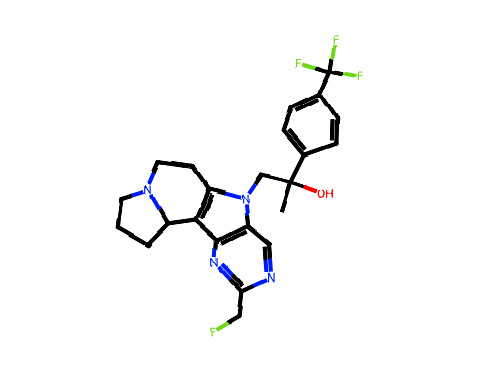 CC(O)(Cn1c2c(c3nc(CF)ncc31)C1CCCN1CC2)c1ccc(C(F)(F)F)cc1